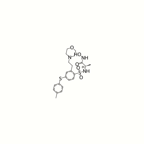 Cc1ccc(Sc2ccc(S(=O)(=O)N[C@H](C)C(=O)NO)c(CCN3CCOCC3)c2)cc1